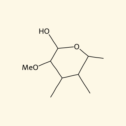 COC1C(O)OC(C)C(C)C1C